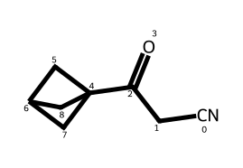 N#CCC(=O)C12CC(C1)C2